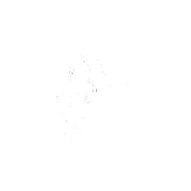 COC(=O)c1ccc(C(=O)N(C)C)cc1NC(=O)/C=C(/C)c1ccc2ccccc2c1